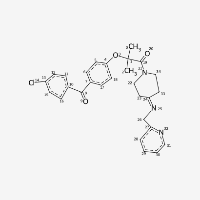 CC(C)(Oc1ccc(C(=O)c2ccc(Cl)cc2)cc1)C(=O)N1CCC(=NCc2ccccn2)CC1